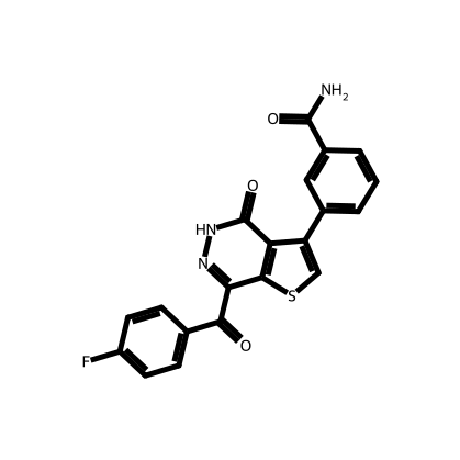 NC(=O)c1cccc(-c2csc3c(C(=O)c4ccc(F)cc4)n[nH]c(=O)c23)c1